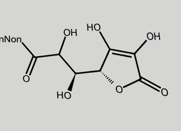 CCCCCCCCCC(=O)C(O)[C@H](O)[C@H]1OC(=O)C(O)=C1O